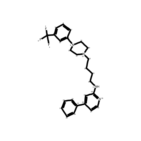 FC(F)(F)c1cccc(N2CCN(CCCCNc3cc(-c4ccccc4)ccn3)CC2)c1